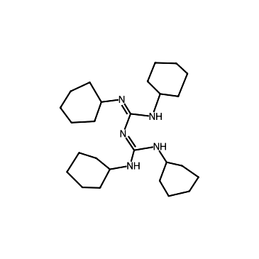 C1CCC(/N=C(\N=C(NC2CCCCC2)NC2CCCCC2)NC2CCCCC2)CC1